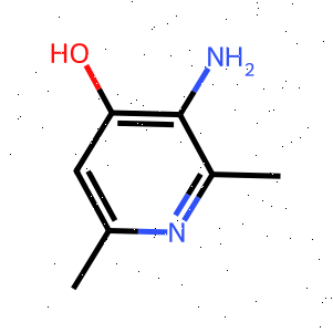 Cc1cc(O)c(N)c(C)n1